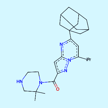 CC(C)c1cc(C23CC4CC(CC(C4)C2)C3)nc2cc(C(=O)N3CCNCC3(C)C)nn12